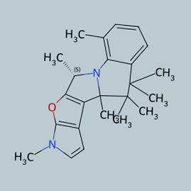 Cc1cccc2c1N1[C@@H](C)c3oc4c(ccn4C)c3C1(C)C(C)(C)C2(C)C